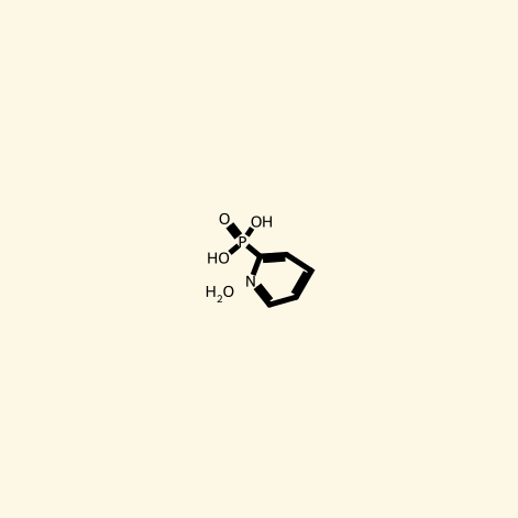 O.O=P(O)(O)c1ccccn1